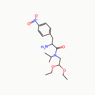 CCOC(CN(C(=O)C(N)Cc1ccc([N+](=O)[O-])cc1)C(C)C)OCC